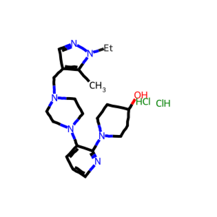 CCn1ncc(CN2CCN(c3cccnc3N3CCC(O)CC3)CC2)c1C.Cl.Cl